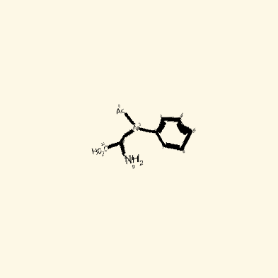 CC(=O)N(c1ccccc1)C(N)C(=O)O